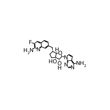 Nc1nc2cc(C[C@@H]3CC[C@@]4(O)[C@@H]3O[C@@H](n3ccc5c(N)ncnc53)[C@@H]4O)ccc2cc1F